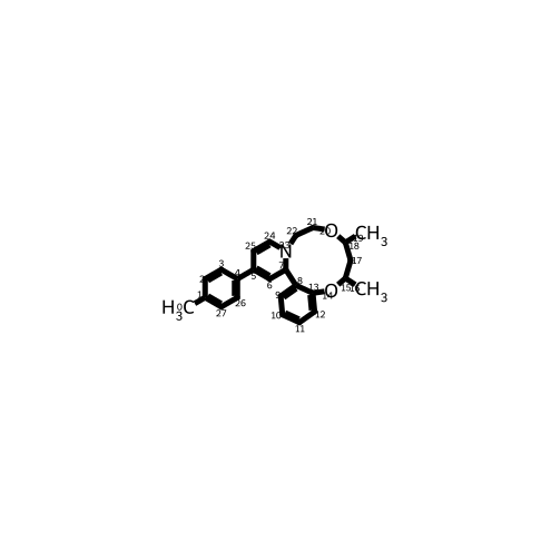 Cc1ccc(C2=CC3c4ccccc4OC(C)CC(C)OCCN3C=C2)cc1